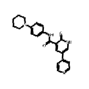 O=C(Nc1ccc(N2CCCCC2)cc1)c1cc(-c2ccncc2)c[nH]c1=O